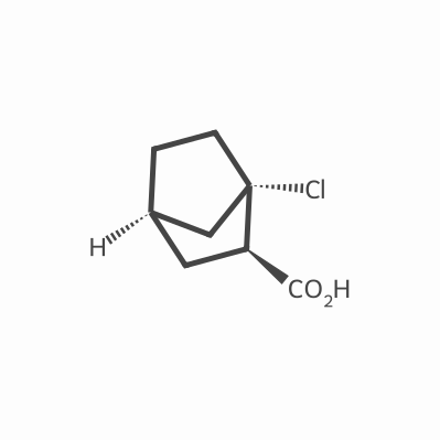 O=C(O)[C@H]1C[C@H]2CC[C@]1(Cl)C2